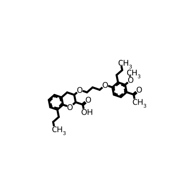 CCCc1cccc2c1OC(C(=O)O)C(OCCCOc1ccc(C(C)=O)c(OC)c1CCC)C2